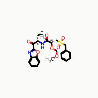 CC[C@H](NC(=O)[C@H](CS(=O)(=O)Cc1ccccc1)OCOC)C(=O)c1nc2ccccc2o1